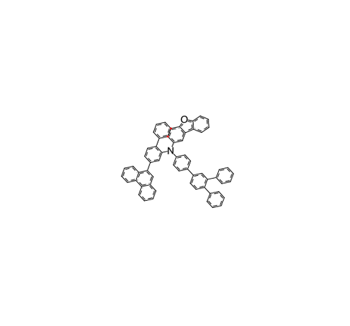 c1ccc(-c2ccc(-c3ccc(N(c4ccc5oc6ccccc6c5c4)c4cc(-c5cc6ccccc6c6ccccc56)ccc4-c4ccccc4)cc3)cc2-c2ccccc2)cc1